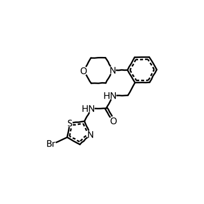 O=C(NCc1ccccc1N1CCOCC1)Nc1ncc(Br)s1